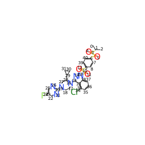 CC(C)S(=O)(=O)c1ccc(S(=O)(=O)n2nc(N3CCN(c4ncc(F)cn4)CC3C3CC3)c3c(Cl)cccc32)cc1